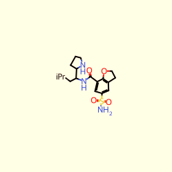 CC(C)CC(NC(=O)c1cc(S(N)(=O)=O)cc2c1OCC2)C1CCCN1